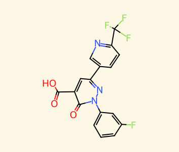 O=C(O)c1cc(-c2ccc(C(F)(F)F)nc2)nn(-c2cccc(F)c2)c1=O